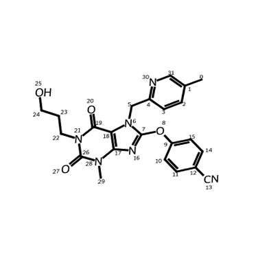 Cc1ccc(Cn2c(Oc3ccc(C#N)cc3)nc3c2c(=O)n(CCCO)c(=O)n3C)nc1